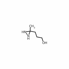 CC1(CCCO)NN1